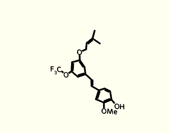 COc1cc(/C=C/c2cc(OCC=C(C)C)cc(OC(F)(F)F)c2)ccc1O